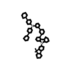 CC1(C)c2ccccc2-c2ccc(-n3c4ccccc4c4c(-c5cccc(-c6cccc(N(c7ccc(-c8ccccc8)cc7)c7ccc(-c8ccccc8)cc7)c6)c5)cccc43)cc21